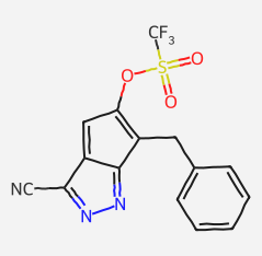 N#CC1=NN=C2C1=CC(OS(=O)(=O)C(F)(F)F)=C2Cc1ccccc1